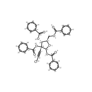 O=C(OC[C@H]1OC(OC(=O)c2ccccc2)[C@](C#CCl)(OC(=O)c2ccccc2)[C@@H]1OC(=O)c1ccccc1)c1ccccc1